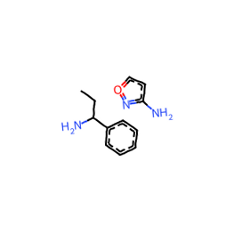 CCC(N)c1ccccc1.Nc1ccon1